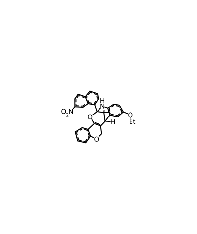 CCOc1ccc2c(c1)[C@@H]1C3=C(OC(c4cccc5ccc([N+](=O)[O-])cc45)(N2)C1(C)C)c1ccccc1OC3